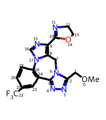 COCc1nnc2n1Cc1c(C3=NCCO3)ncn1-c1ccc(C(F)(F)F)cc1-2